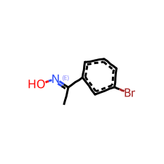 C/C(=N\O)c1cccc(Br)c1